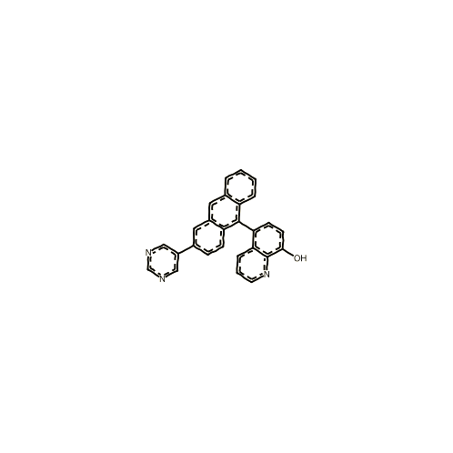 Oc1ccc(-c2c3ccccc3cc3cc(-c4cncnc4)ccc23)c2cccnc12